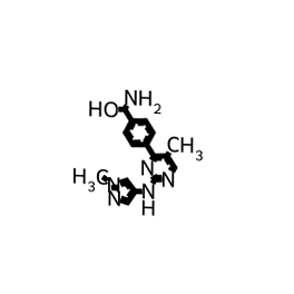 Cc1cnc(Nc2cnn(C)c2)nc1-c1ccc(C(N)O)cc1